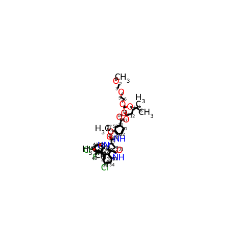 COCCOCCOC(=O)OC(CCC(C)C)OC(=O)c1ccc(NC(=O)[C@H]2C[C@]3(C(=O)Nc4cc(Cl)cc(-c5cccc(Cl)c5F)c43)[C@H](CC(C)(C)C)N2)c(OC)c1